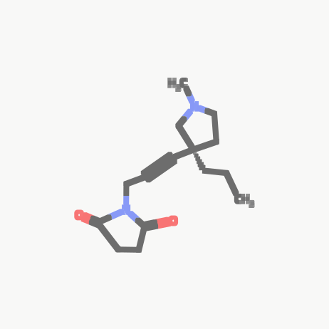 CCC[C@@]1(C#CCN2C(=O)CCC2=O)CCN(C)C1